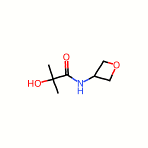 CC(C)(O)C(=O)NC1COC1